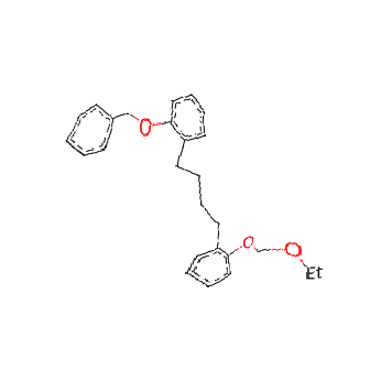 CCOCOc1ccccc1CCCCc1ccccc1OCc1ccccc1